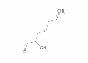 C=CCCCC(O)CO